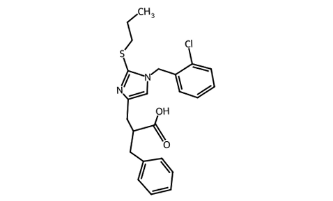 CCCSc1nc(CC(Cc2ccccc2)C(=O)O)cn1Cc1ccccc1Cl